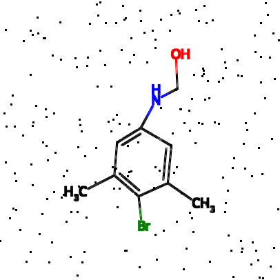 Cc1cc(NCO)cc(C)c1Br